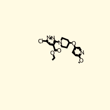 CCOC(=O)c1cc(Cl)nnc1N1CCC(Oc2ccc(OC)nc2)CC1